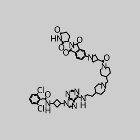 O=C1CC[C@H](N2C(=O)c3ccc(N4CC(C(=O)N5CCC(CN6CCC(CCNc7ncnc8c7ncn8C7CC(NC(=O)c8c(Cl)cccc8Cl)C7)CC6)CC5)C4)cc3C2=O)C(=O)N1